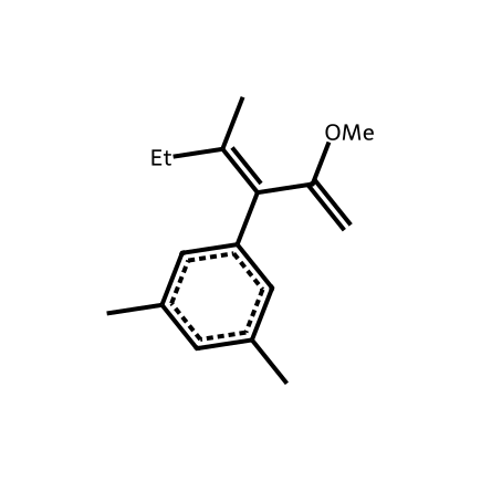 C=C(OC)/C(=C(\C)CC)c1cc(C)cc(C)c1